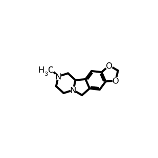 CN1CCN2Cc3cc4c(cc3C2C1)OCO4